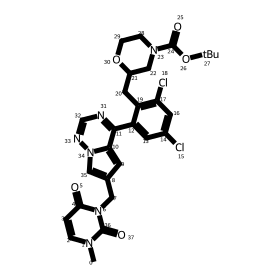 Cn1ccc(=O)n(Cc2cc3c(-c4cc(Cl)cc(Cl)c4CC4CN(C(=O)OC(C)(C)C)CCO4)ncnn3c2)c1=O